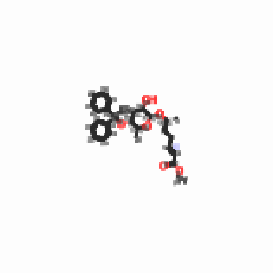 CC(C)OC(=O)/C=C/CC[C@@H](C)O[C@@H]1O[C@@H](C)[C@H](O[Si](c2ccccc2)(c2ccccc2)C(C)(C)C)C[C@H]1O